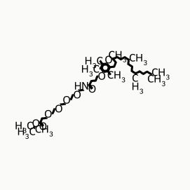 Cc1c(C)c2c(c(C)c1OCCCC(=O)NCCOCCOCCOCCOCCC(=O)OC(C)(C)C)CC[C@@](C)(CCC[C@H](C)CCC[C@H](C)CCCC(C)C)O2